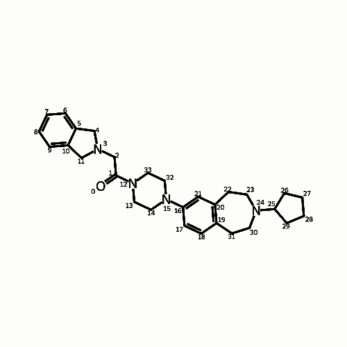 O=C(CN1Cc2ccccc2C1)N1CCN(c2ccc3c(c2)CCN(C2CCCC2)CC3)CC1